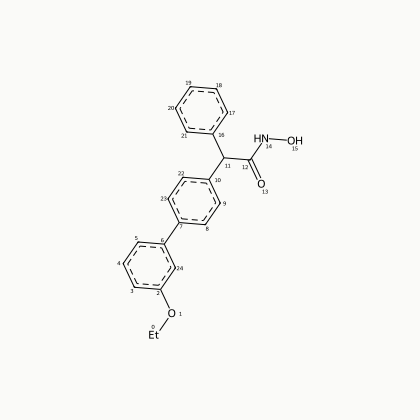 CCOc1cccc(-c2ccc(C(C(=O)NO)c3ccccc3)cc2)c1